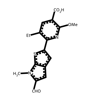 CCc1cc(C(=O)O)c(OC)nc1-c1cc2cc(C=O)n(C)c2s1